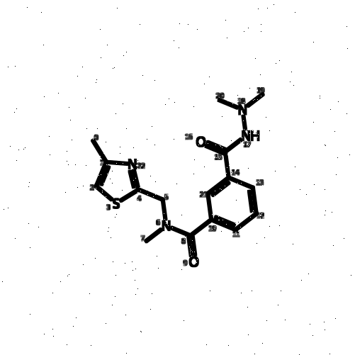 Cc1csc(CN(C)C(=O)c2cccc(C(=O)NN(C)C)c2)n1